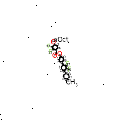 CCCCCCCCOc1ccc(C(=O)Oc2ccc(-c3ccc(C4CCC(C)CC4)c(F)c3F)cc2)c(F)c1F